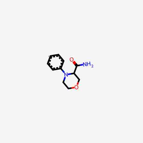 NC(=O)C1COCCN1c1cc[c]cc1